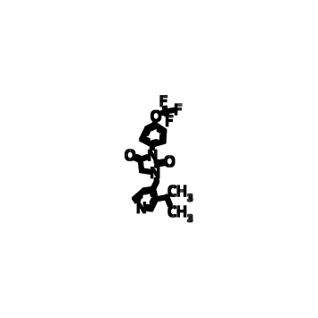 CC(C)c1cnccc1CN1CC(=O)N(c2ccc(OC(F)(F)F)cc2)C1=O